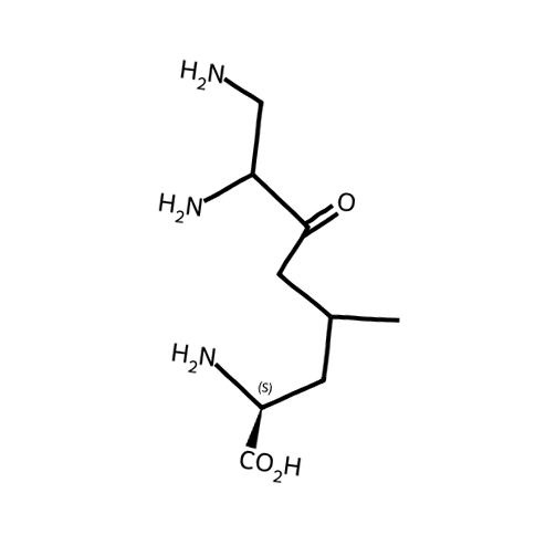 CC(CC(=O)C(N)CN)C[C@H](N)C(=O)O